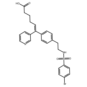 O=C(O)CCCC=C(c1ccc(CCNS(=O)(=O)c2ccc(Br)cc2)cc1)c1cccnc1